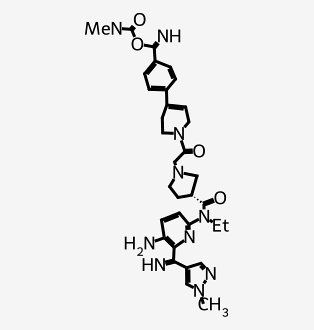 CCN(C(=O)[C@@H]1CCN(CC(=O)N2CC=C(c3ccc(C(=N)OC(=O)NC)cc3)CC2)C1)c1ccc(N)c(C(=N)c2cnn(C)c2)n1